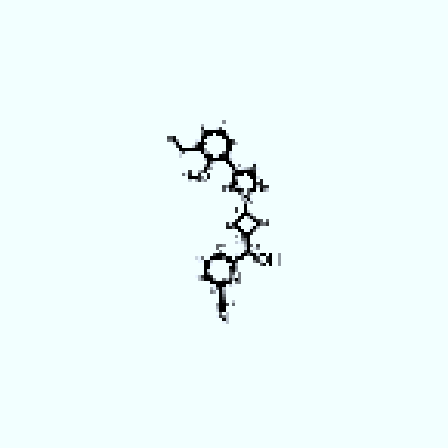 CCc1cccc(-c2cnn(C3CC(C(O)c4cccc(C#N)n4)C3)c2)c1OC